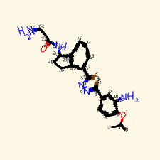 CC(C)Oc1ccc(-c2nnc(-c3cccc4c3CCC4NC(=O)CN)s2)cc1N